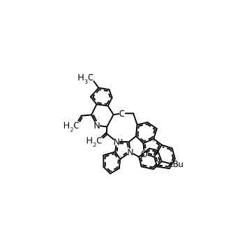 C=CC1=NC2C(=C)[n+]3c(n(-c4ccc(C(C)(C)C)cc4)c4ccccc43)-c3c(ccc4c3oc3ccccc34)CCC2c2ccc(C)cc21